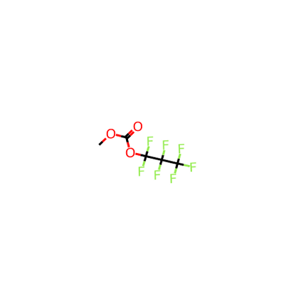 COC(=O)OC(F)(F)C(F)(F)C(F)(F)F